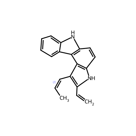 C=Cc1[nH]c2ccc3[nH]c4ccccc4c3c2c1/C=C\C